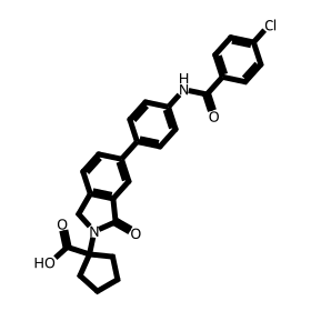 O=C(Nc1ccc(-c2ccc3c(c2)C(=O)N(C2(C(=O)O)CCCC2)C3)cc1)c1ccc(Cl)cc1